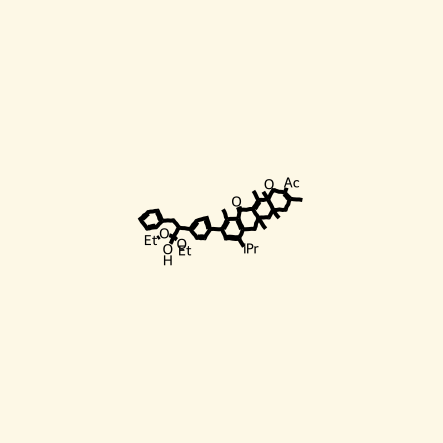 CCOC(O)(OCC)C(Cc1ccccc1)c1ccc(-c2cc(C(C)C)c3c(c2C)C(=O)C2=C(C)C4(C)C(=O)C(C(C)=O)=C(C)CC4(C)CC2(C)C3)cc1